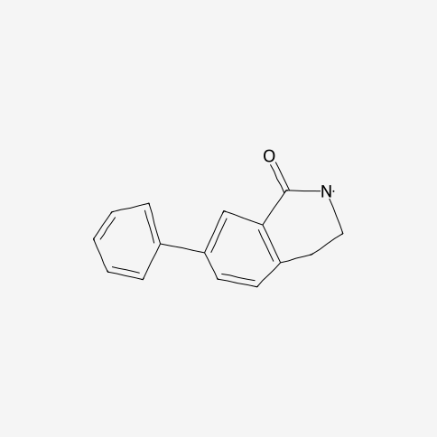 O=C1[N]CCc2ccc(-c3ccccc3)cc21